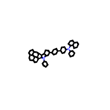 c1ccc(N(c2ccc(-c3ccc(-c4ccc5c6c(n(-c7ccccc7)c5c4)-c4ccc5ccc7cccc8cc-6c4c5c78)cc3)cc2)c2cccc3ccccc23)cc1